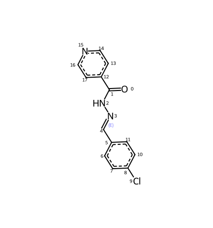 O=C(N/N=C/c1ccc(Cl)cc1)c1ccncc1